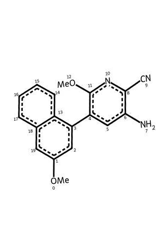 COc1cc(-c2cc(N)c(C#N)nc2OC)c2ccccc2c1